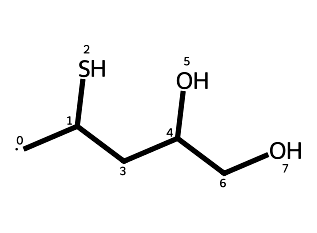 [CH2]C(S)CC(O)CO